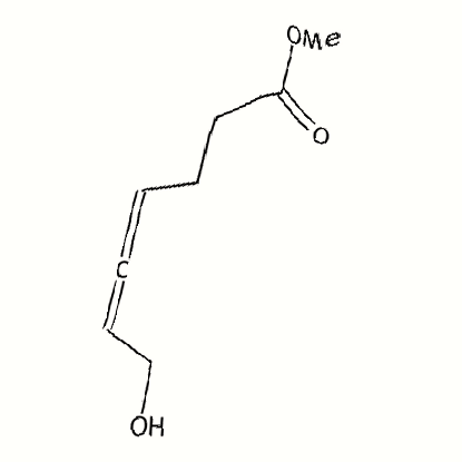 COC(=O)CCC=C=CCO